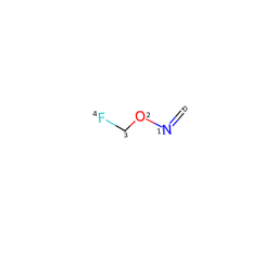 [CH]=NOCF